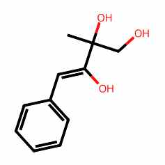 CC(O)(CO)C(O)=Cc1ccccc1